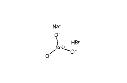 Br.[Na+].[O-][Br+2]([O-])[O-]